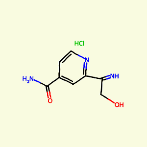 Cl.N=C(CO)c1cc(C(N)=O)ccn1